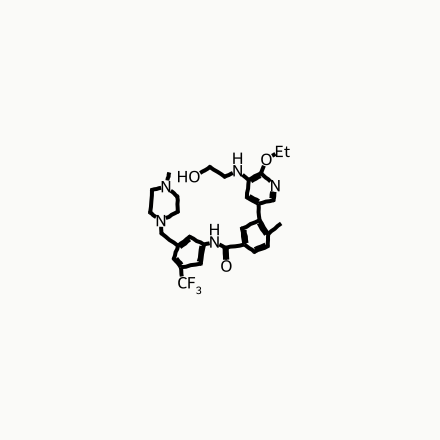 CCOc1ncc(-c2cc(C(=O)Nc3cc(CN4CCN(C)CC4)cc(C(F)(F)F)c3)ccc2C)cc1NCCO